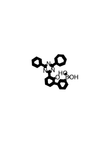 OB(O)c1cccc2c1oc1c(-c3nc(C4=CCC=CC=C4)nc(-c4ccccc4)n3)cccc12